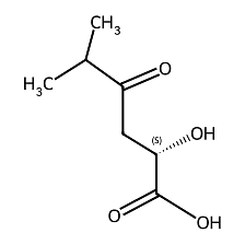 CC(C)C(=O)C[C@H](O)C(=O)O